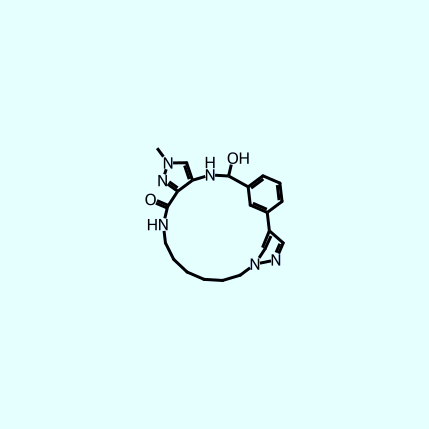 Cn1cc2c(n1)C(=O)NCCCCCCn1cc(cn1)-c1cccc(c1)C(O)N2